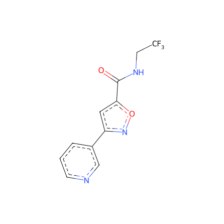 O=C(NCC(F)(F)F)c1cc(-c2cccnc2)no1